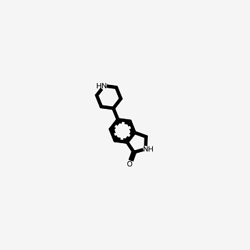 O=C1NCc2cc(C3CCNCC3)ccc21